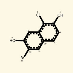 Oc1cc2c(Cl)c(O)ccc2cc1Br